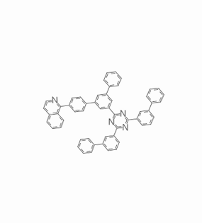 c1ccc(-c2cccc(-c3nc(-c4cccc(-c5ccccc5)c4)nc(-c4cc(-c5ccccc5)cc(-c5ccc(-c6nccc7ccccc67)cc5)c4)n3)c2)cc1